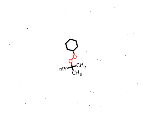 CCCC(C)(C)OOC1CCCCC1